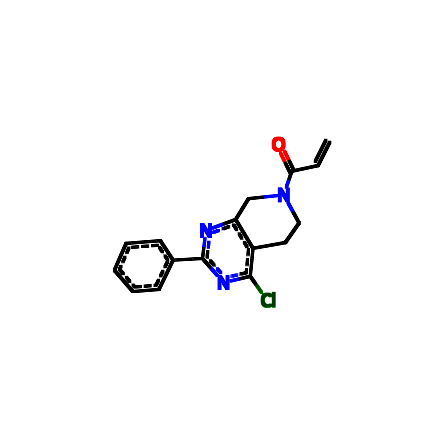 C=CC(=O)N1CCc2c(Cl)nc(-c3ccccc3)nc2C1